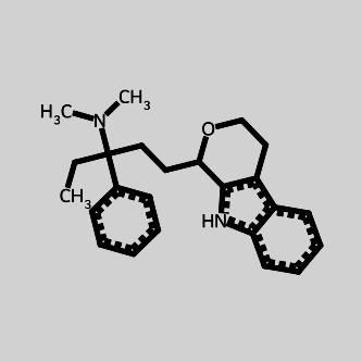 CCC(CCC1OCCc2c1[nH]c1ccccc21)(c1ccccc1)N(C)C